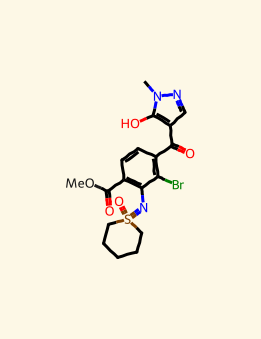 COC(=O)c1ccc(C(=O)c2cnn(C)c2O)c(Br)c1N=S1(=O)CCCCC1